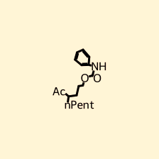 CCCCCC(CCCOC(=O)Nc1ccccc1)C(C)=O